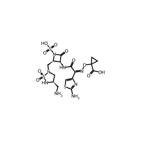 NC[C@@H]1CN(C[C@@H]2[C@H](NC(=O)/C(=N\OC3(C(=O)O)CC3)c3csc(N)n3)C(=O)N2S(=O)(=O)O)S(=O)(=O)N1